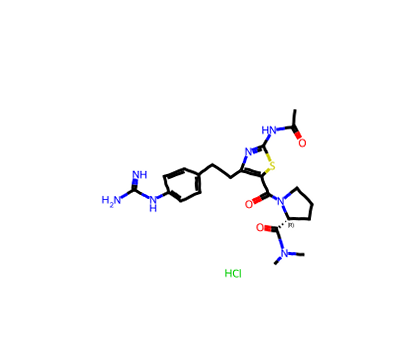 CC(=O)Nc1nc(CCc2ccc(NC(=N)N)cc2)c(C(=O)N2CCC[C@@H]2C(=O)N(C)C)s1.Cl